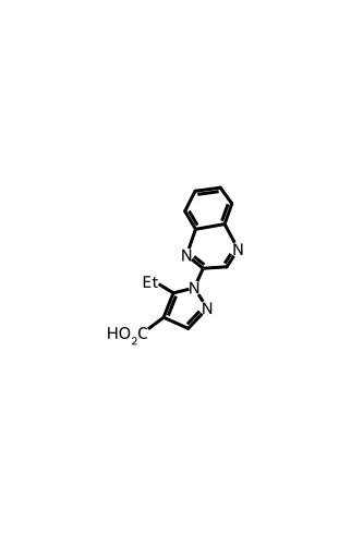 CCc1c(C(=O)O)cnn1-c1cnc2ccccc2n1